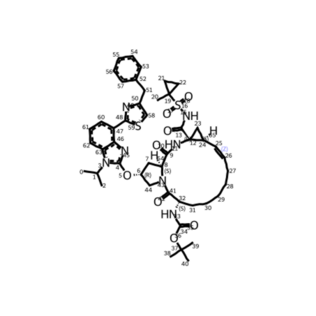 CC(C)n1c(O[C@@H]2C[C@H]3C(=O)N[C@]4(C(=O)NS(=O)(=O)C5(C)CC5)C[C@H]4/C=C\CCCCC[C@H](NC(=O)OC(C)(C)C)C(=O)N3C2)nc2c(-c3nc(Cc4ccccc4)cs3)cccc21